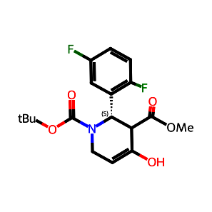 COC(=O)C1C(O)=CCN(C(=O)OC(C)(C)C)[C@@H]1c1cc(F)ccc1F